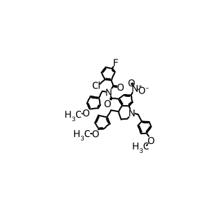 COc1ccc(CC2CCN(Cc3ccc(OC)cc3)c3cc([N+](=O)[O-])cc(C(=O)N(Cc4ccc(OC)cc4)C(=O)c4cc(F)ccc4Cl)c32)cc1